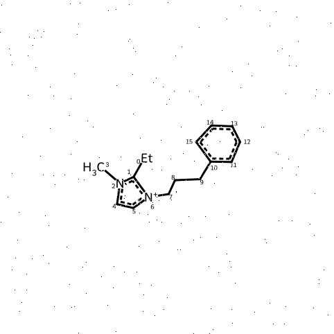 CCc1n(C)cc[n+]1CCCc1ccccc1